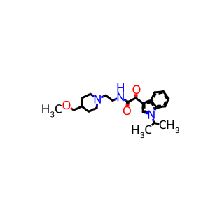 COCC1CCN(CCNC(=O)C(=O)c2cn(C(C)C)c3ccccc23)CC1